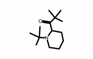 CC(C)(C)C(=O)C1CCCCN1C(C)(C)C